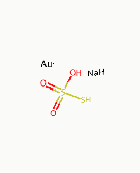 O=S(=O)(O)S.[Au].[NaH]